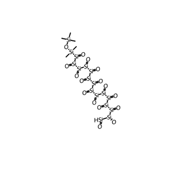 C[Si](C)(C)O[Si](C)(C)[Si](=O)[Si](=O)[Si](=O)[Si](=O)[Si](=O)[Si](=O)[Si](=O)[Si](=O)[Si](=O)[Si](=O)[Si](=O)[Si](=O)[Si](=O)[Si](=O)[SiH]=O